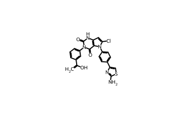 C=C(O)c1cccc(-n2c(=O)[nH]c3cc(Cl)n(-c4ccc(-c5csc(N)n5)cc4)c3c2=O)c1